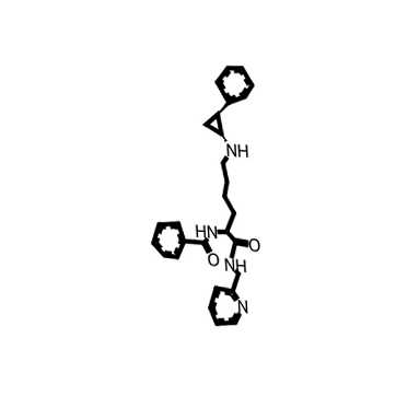 O=C(NC(CCCCN[C@@H]1C[C@H]1c1ccccc1)C(=O)NCc1ccccn1)c1ccccc1